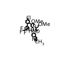 COCCC(C(=O)Nc1ccc2nn(C)cc2c1)n1cc(OC)c(-c2cc(Cl)ccc2-c2cnn(C(F)C(F)F)c2)cc1=O